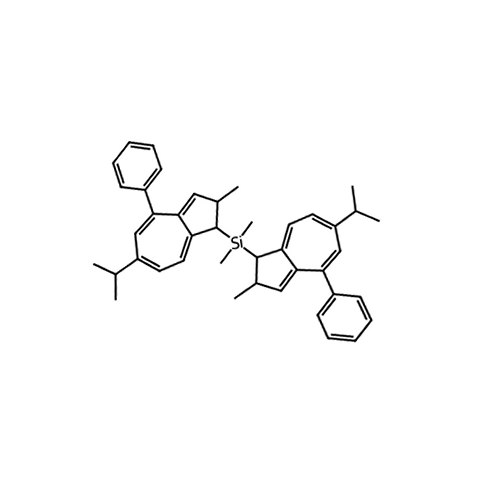 CC(C)C1=CC=C2C(=CC(C)C2[Si](C)(C)C2C3=CC=C(C(C)C)C=C(c4ccccc4)C3=CC2C)C(c2ccccc2)=C1